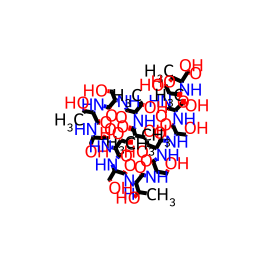 CC(CO)C(=O)NC(C(=O)NC(CO)C(=O)NC(C(=O)NC(CO)C(=O)NC(C(=O)NC(CO)C(=O)NC(C(=O)NC(CO)C(=O)NC(C(=O)NC(CO)C(=O)NC(C(=O)NC(CO)C(=O)NC(C(=O)O)C(C)O)C(C)O)C(C)O)C(C)O)C(C)O)C(C)O)C(C)O